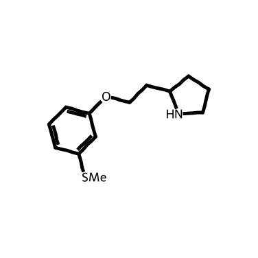 CSc1cccc(OCCC2CCCN2)c1